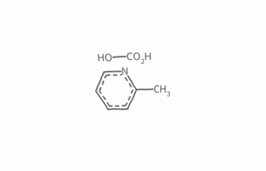 Cc1ccccn1.O=C(O)O